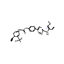 C#CC1CC=C(NC(=O)Cc2ccc(C(/C=N\C(=C)N/C(C=C)=C/CC)=C/C)cc2)C=C1C(C)(F)F